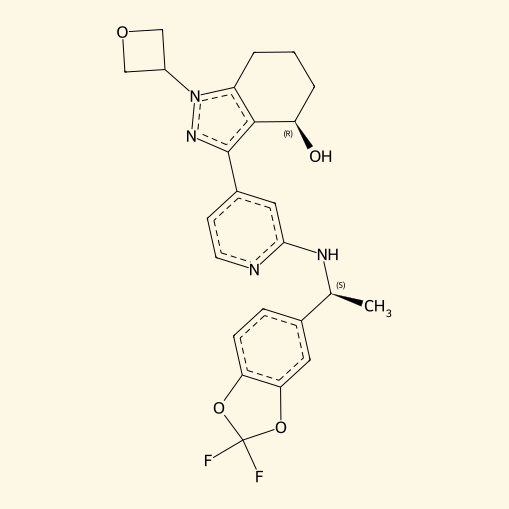 C[C@H](Nc1cc(-c2nn(C3COC3)c3c2[C@H](O)CCC3)ccn1)c1ccc2c(c1)OC(F)(F)O2